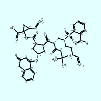 C=CCCCN(C[C@H](C(=O)OC(C)(C)C)C(=O)N1C[C@H](OC2=NC(=O)Cc3ccccc32)C[C@H]1C(=O)NC1(C(=O)O)CC1C=C)S(=O)(=O)c1ccccc1[N+](=O)[O-]